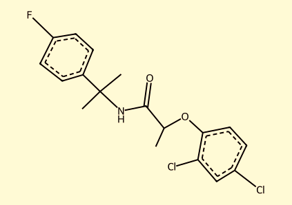 CC(Oc1ccc(Cl)cc1Cl)C(=O)NC(C)(C)c1ccc(F)cc1